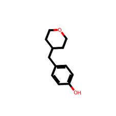 Oc1ccc(CC2CCOCC2)cc1